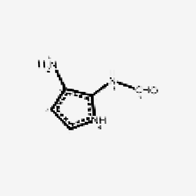 Nc1cc[nH]c1NC=O